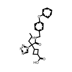 CCCC(C(=O)NCc1ccc(Oc2ccccc2)cc1)(C1CC(C(=O)O)C1)n1cnnn1